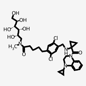 CN(C[C@H](O)[C@@H](O)[C@H](O)[C@H](O)CO)C(=O)CCCCc1cc(Cl)c(CNC2(C(=O)N3CCN(C4CC4)c4ccccc43)CC2)cc1Cl